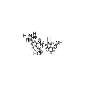 CN1C(=O)CN(CC(=O)N[C@H](CC(=O)O)c2ccccc2)C(=O)c2cc(NC(=N)N)ccc21.Cl